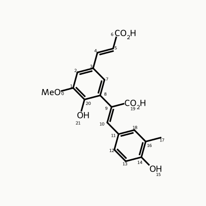 COc1cc(/C=C/C(=O)O)cc(/C(=C/c2ccc(O)c(C)c2)C(=O)O)c1O